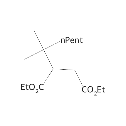 CCCCCC(C)(C)C(CC(=O)OCC)C(=O)OCC